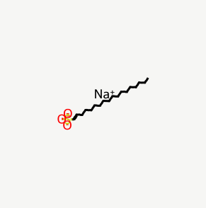 CCCCCCCCCCCCCCCCC=CS(=O)(=O)[O-].[Na+]